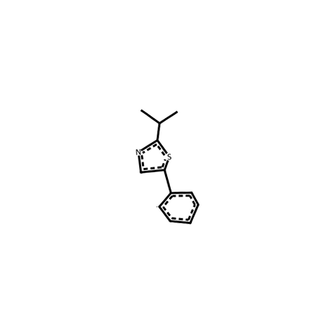 CC(C)c1ncc(-c2[c]cccc2)s1